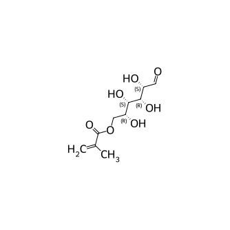 C=C(C)C(=O)OC[C@@H](O)[C@H](O)[C@@H](O)[C@H](O)C=O